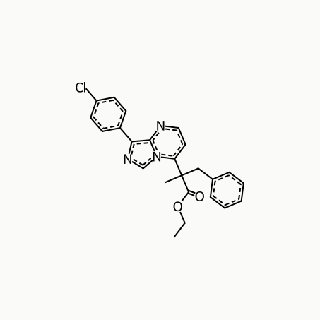 CCOC(=O)C(C)(Cc1ccccc1)c1ccnc2c(-c3ccc(Cl)cc3)ncn12